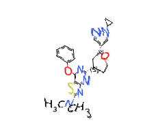 CN(C)c1nc2nc([C@H]3CCO[C@@H](c4cnn(C5CC5)c4)C3)nc(Oc3ccccc3)c2s1